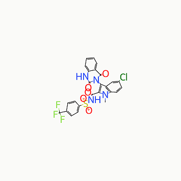 Cn1c(C(=O)NS(=O)(=O)c2ccc(C(F)(F)F)cc2)c(-n2c(=O)[nH]c3ccccc3c2=O)c2cc(Cl)ccc21